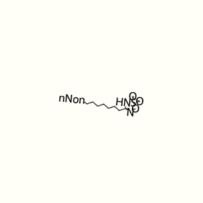 CCCCCCCCCCCCCCCCC1=NOS(=O)(=O)N1